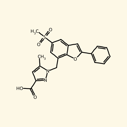 Cc1cc(C(=O)O)nn1Cc1cc(S(C)(=O)=O)cc2cc(-c3ccccc3)oc12